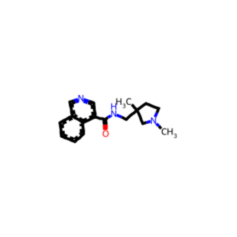 CN1CCC(C)(CNC(=O)c2cncc3ccccc23)C1